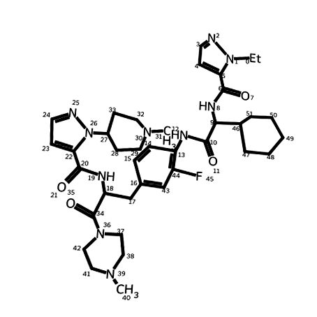 CCn1nccc1C(=O)NC(C(=O)Nc1ccc(CC(NC(=O)c2ccnn2C2CCN(C)CC2)C(=O)N2CCN(C)CC2)cc1F)C1CCCCC1